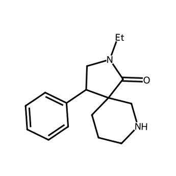 CCN1CC(c2ccccc2)C2(CCCNC2)C1=O